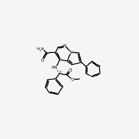 COC(=O)[C@@H](Nc1c(C(N)=O)cnn2cc(-c3ccccc3)cc12)c1ccccc1